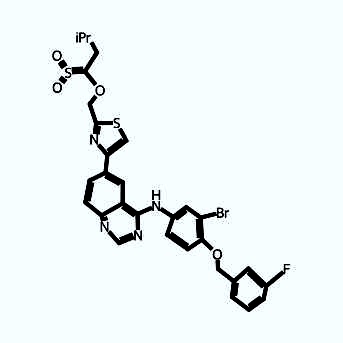 CC(C)CC(OCc1nc(-c2ccc3ncnc(Nc4ccc(OCc5cccc(F)c5)c(Br)c4)c3c2)cs1)=S(=O)=O